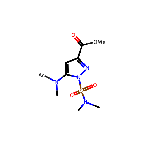 COC(=O)c1cc(N(C)C(C)=O)n(S(=O)(=O)N(C)C)n1